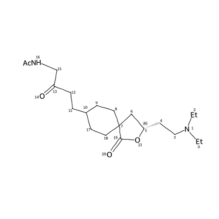 CCN(CC)CC[C@H]1CC2(CCC(CCC(=O)CNC(C)=O)CC2)C(=O)O1